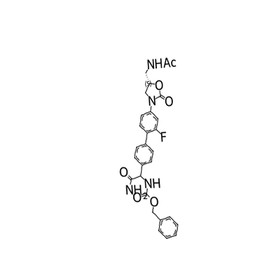 CC(=O)NC[C@H]1CN(c2ccc(-c3ccc(C(NC(=O)OCc4ccccc4)C(N)=O)cc3)c(F)c2)C(=O)O1